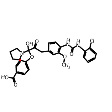 COc1cc(CC(=O)C(O)(Oc2ccc(C(=O)O)cc2)N2CCCC2)ccc1NC(=O)Nc1ccccc1Cl